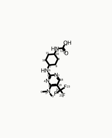 CN(C)c1nc(NC2CCC(NC(=O)O)CC2)ncc1C(F)(F)F